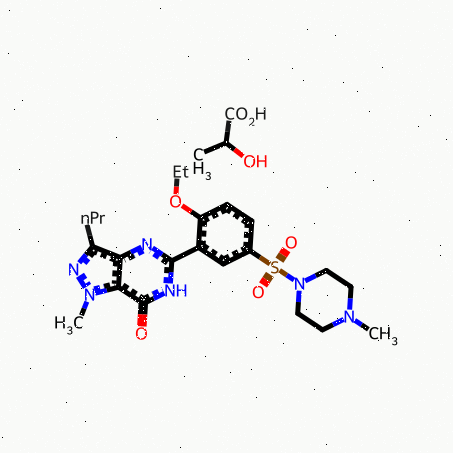 CC(O)C(=O)O.CCCc1nn(C)c2c(=O)[nH]c(-c3cc(S(=O)(=O)N4CCN(C)CC4)ccc3OCC)nc12